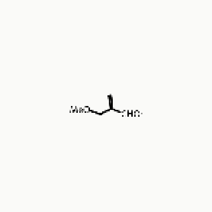 C=C([C]=O)COC